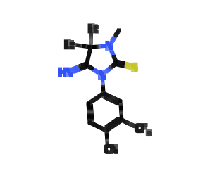 CCC1(CC)C(=N)N(c2ccc(C#N)c(C(F)(F)F)c2)C(=S)N1C